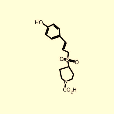 O=C(O)N1CCC(S(=O)(=O)CC=Cc2ccc(O)cc2)CC1